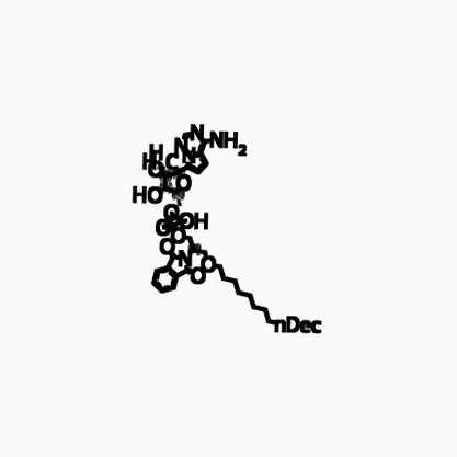 CCCCCCCCCCCCCCCCCCOC[C@H](COP(=O)(O)OC[C@H]1O[C@@](C)(c2ccc3c(N)ncnn23)[C@H](O)[C@@H]1O)N1C(=O)c2ccccc2C1=O